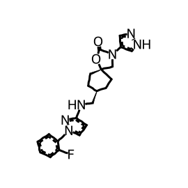 O=C1O[C@]2(CC[C@H](CNc3ccn(-c4ccccc4F)n3)CC2)CN1c1cn[nH]c1